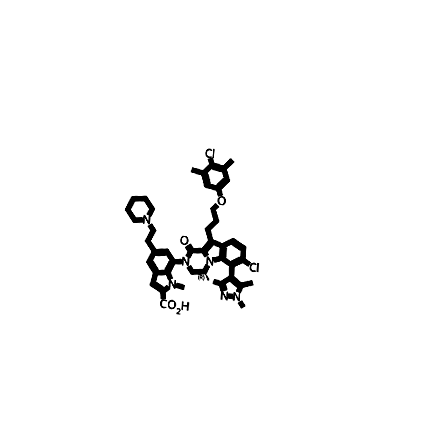 Cc1cc(OCCCc2c3n(c4c(-c5c(C)nn(C)c5C)c(Cl)ccc24)[C@H](C)CN(c2cc(CCN4CCCCC4)cc4cc(C(=O)O)n(C)c24)C3=O)cc(C)c1Cl